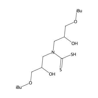 CCC(C)OCC(O)CN(CC(O)COC(C)CC)C(=S)S